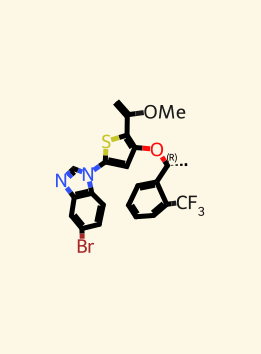 C=C(OC)c1sc(-n2cnc3cc(Br)ccc32)cc1O[C@H](C)c1ccccc1C(F)(F)F